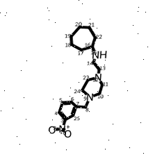 O=[N+]([O-])c1cccc(CN2CCN(CCNC3CCCCCC3)CC2)c1